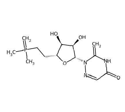 C=C1NC(=O)C=NN1[C@@H]1O[C@H](CCP(=C)(C)C)[C@@H](O)[C@H]1O